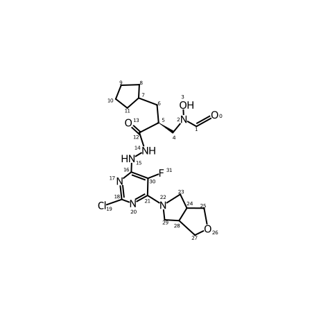 O=CN(O)C[C@H](CC1CCCC1)C(=O)NNc1nc(Cl)nc(N2CC3COCC3C2)c1F